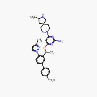 Cc1ccn(-c2ccc(-c3ccc(C(=O)O)cc3)cc2C(Oc2cc(N3CCC4(CC3)CN[C@H](C(=O)O)C4)nc(N)n2)C(F)(F)F)n1